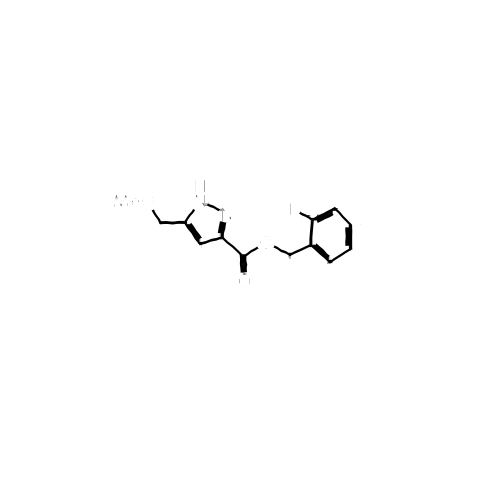 COCc1cc(C(=O)OCc2ccccc2F)n[nH]1